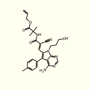 C=CCOC(=O)C(C)(C)NC(=O)C(C#N)=Cc1c(-c2ccc(C)cc2)c2c(N)ncnc2n1CCCO